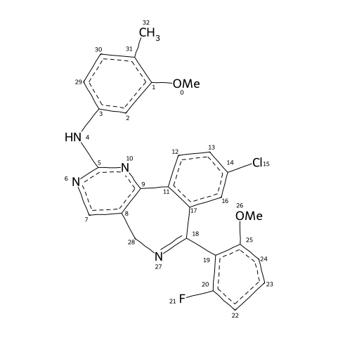 COc1cc(Nc2ncc3c(n2)-c2ccc(Cl)cc2C(c2c(F)cccc2OC)=NC3)ccc1C